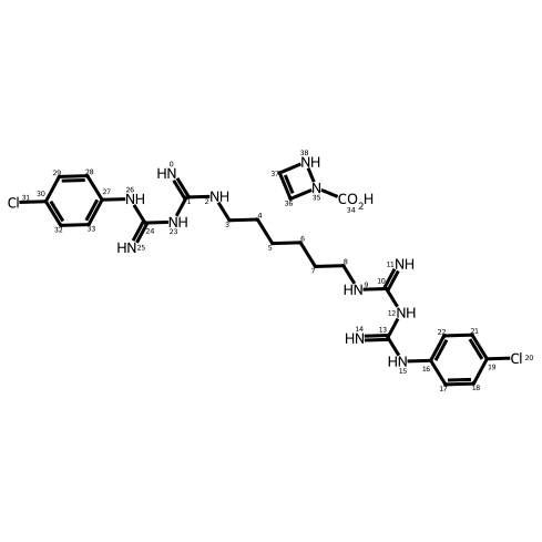 N=C(NCCCCCCNC(=N)NC(=N)Nc1ccc(Cl)cc1)NC(=N)Nc1ccc(Cl)cc1.O=C(O)n1cc[nH]1